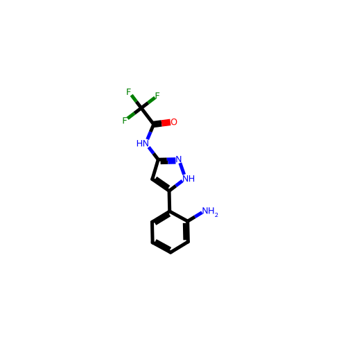 Nc1ccccc1-c1cc(NC(=O)C(F)(F)F)n[nH]1